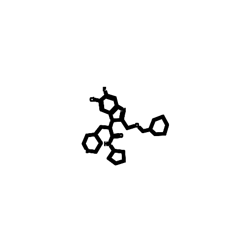 O=C(NC1CCCC1)C(CC1CCSCC1)n1c(COCC2CCCCC2)nc2cc(F)c(Cl)cc21